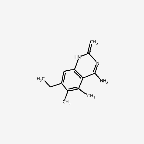 C=C1N=C(N)c2c(cc(CC)c(C)c2C)N1